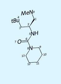 CNC[C@H](CC(C)(C)C)NC(=O)N1CCCCC1